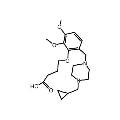 COc1ccc(CN2CCN(CC3CC3)CC2)c(OCCCC(=O)O)c1OC